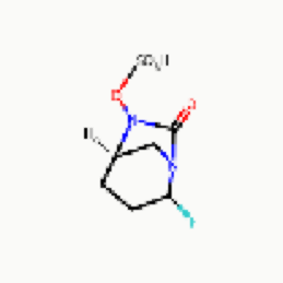 O=C1N2C[C@@H](CC[C@@H]2F)N1OS(=O)(=O)O